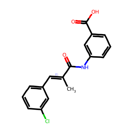 C/C(=C\c1cccc(Cl)c1)C(=O)Nc1cccc(C(=O)O)c1